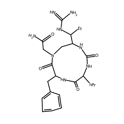 CCCC1NC(=O)NC(C(CC)NC(=N)N)CN(CC(N)=O)C(=O)C(Cc2ccccc2)NC1=O